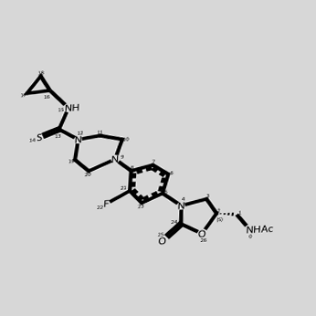 CC(=O)NC[C@H]1CN(c2ccc(N3CCN(C(=S)NC4CC4)CC3)c(F)c2)C(=O)O1